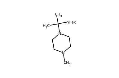 CCCCCCC(C)(C)N1CCN(C)CC1